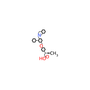 CC#CC(CC(=O)O)c1ccc(OCc2ccc(CN3CCc4ccccc4C3)c(-c3ccccc3)c2)cc1